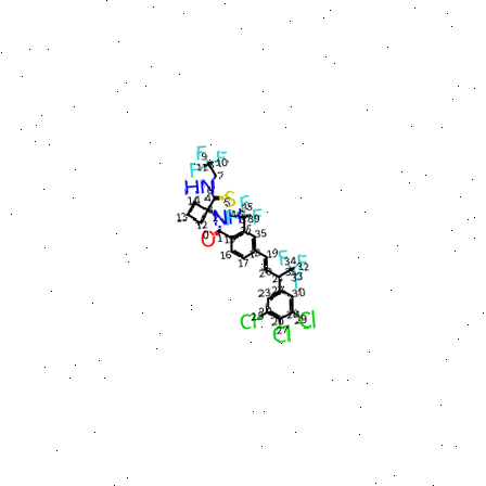 O=C(NC1(C(=S)NCC(F)(F)F)CCC1)c1ccc(/C=C/C(c2cc(Cl)c(Cl)c(Cl)c2)C(F)(F)F)cc1C(F)(F)F